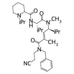 C/C(=C\[C@H](C(C)C)N(C)C(=O)[C@@H](NC(=O)C1CCCCN1C(C)C)C(C)C)C(=O)N(CCC#N)Cc1ccccc1